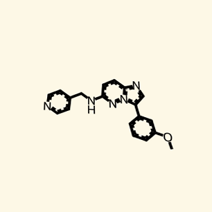 COc1cccc(-c2cnc3ccc(NCc4ccncc4)nn23)c1